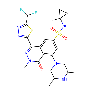 CC1CN(c2cc(S(=O)(=O)NC3(C)CC3)cc3c(-c4nnc(C(F)F)s4)nn(C)c(=O)c23)CC(C)N1